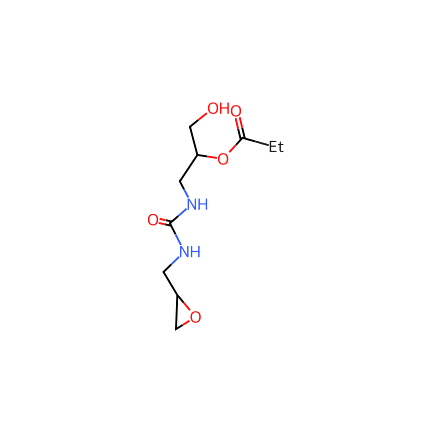 CCC(=O)OC(CO)CNC(=O)NCC1CO1